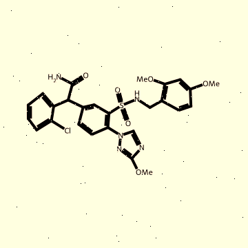 COc1ccc(CNS(=O)(=O)c2cc(C(C(N)=O)c3ccccc3Cl)ccc2-n2cnc(OC)n2)c(OC)c1